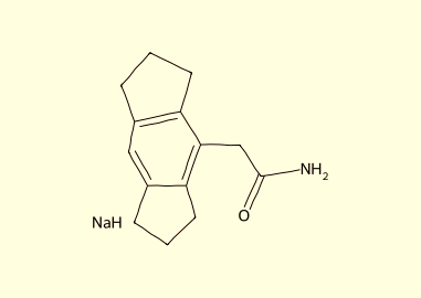 NC(=O)Cc1c2c(cc3c1CCC3)CCC2.[NaH]